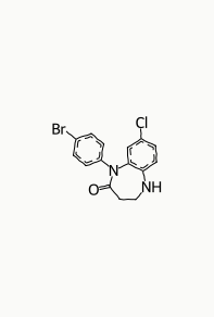 O=C1CCNc2ccc(Cl)cc2N1c1ccc(Br)cc1